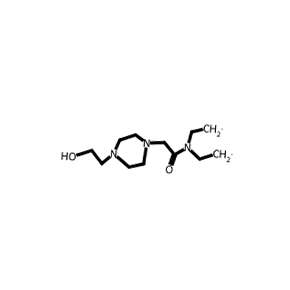 [CH2]CN(C[CH2])C(=O)CN1CCN(CCO)CC1